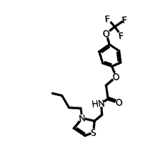 CCCCN1C=CSC1CNC(=O)COc1ccc(OC(F)(F)F)cc1